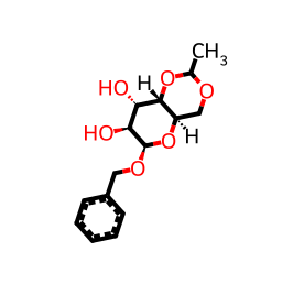 CC1OC[C@H]2O[C@@H](OCc3ccccc3)[C@@H](O)[C@H](O)[C@@H]2O1